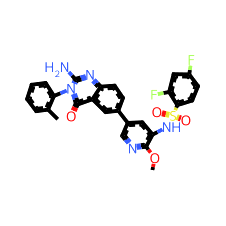 COc1ncc(-c2ccc3nc(N)n(-c4ccccc4C)c(=O)c3c2)cc1NS(=O)(=O)c1ccc(F)cc1F